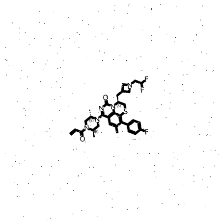 C=CC(=O)N1C[C@H](C)N(c2nc(=O)n3c4c(c(-c5ccc(F)cc5)c(C)cc24)SC[C@@H]3CC2CN(CC(F)F)C2)C[C@H]1C